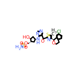 Cc1sc(C(=O)c2cncnc2N[C@@H]2C[C@H](COS(N)(=O)=O)[C@@H](O)C2)nc1[C@@H]1OCCc2ccc(Cl)cc21